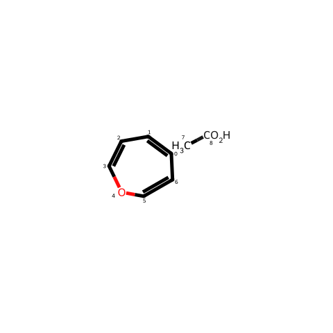 C1=CC=COC=C1.CC(=O)O